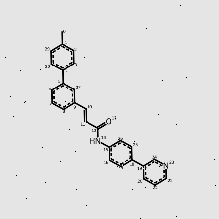 Cc1ccc(-c2cccc(C=CC(=O)Nc3ccc(-c4cccnc4)cc3)c2)cc1